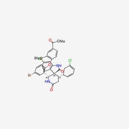 COC(=O)c1ccc(Oc2ccc(Br)cc2[C@H]2NC(=O)C[C@@H](C3C=CC=C(Cl)C3)[C@]23C(=O)Nc2cc(Cl)ccc23)c(OC)c1